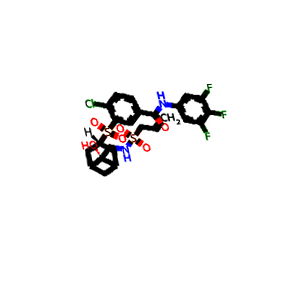 C=CCS(=O)(=O)NC[C@]1(O)C2CC1C[C@@H](S(=O)(=O)c1cc(C(=O)Nc3cc(F)c(F)c(F)c3)ccc1Cl)C2